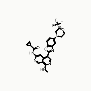 CNc1ncc(-c2nc3cc(N4CCO[C@@H](C(F)(F)F)C4)ccc3o2)c2cc(NC(=O)C3CC3)ncc12